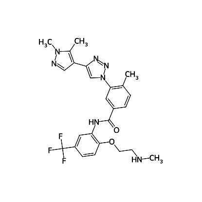 CNCCOc1ccc(C(F)(F)F)cc1NC(=O)c1ccc(C)c(-n2cc(-c3cnn(C)c3C)nn2)c1